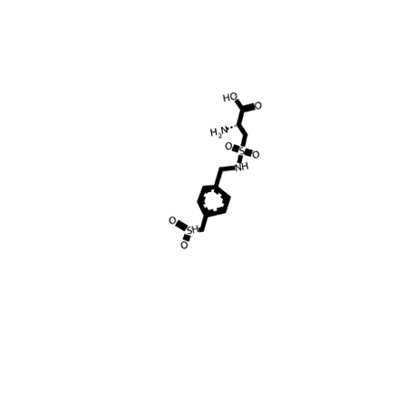 N[C@@H](CS(=O)(=O)NCc1ccc(C[SH](=O)=O)cc1)C(=O)O